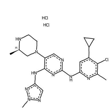 Cc1nc(Nc2ncc(N3CCN[C@H](C)C3)c(Nc3cnn(C)n3)n2)cc(C2CC2)c1Cl.Cl.Cl